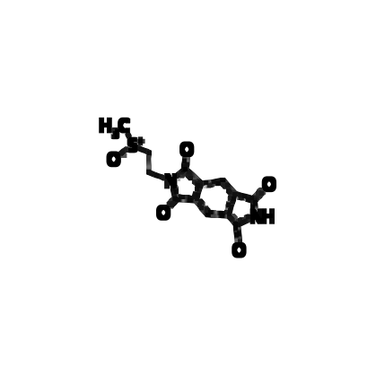 C[S+]([O-])CCn1c(=O)c2cc3c(=O)[nH]c(=O)c3cc2c1=O